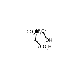 CO.O=C(O)CC(=O)O